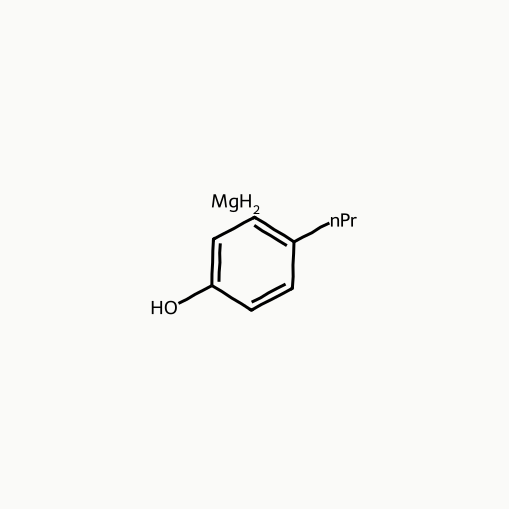 CCCc1ccc(O)cc1.[MgH2]